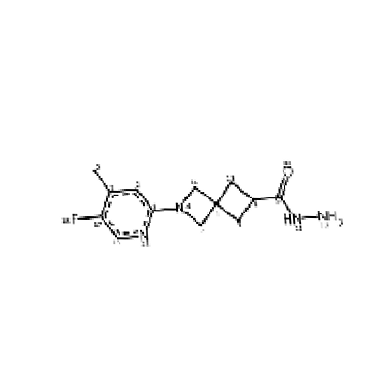 Cc1cc(N2CC3(CC(C(=O)NN)C3)C2)ncc1F